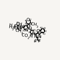 C[C@H]1COCC[C@]1(F)c1cc(B2OC(C)(C)C(C)(C)O2)cnc1O[C@H]1C[C@@H](C(=O)O)N(c2nc(C(F)F)nc3c2oc2ccccc23)C1